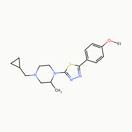 CCOc1ccc(-c2nnc(N3CCN(CC4CC4)CC3C)s2)cc1